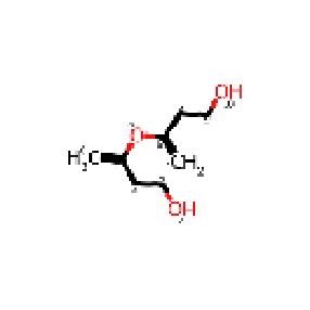 C=C(CCO)OC(=C)CCO